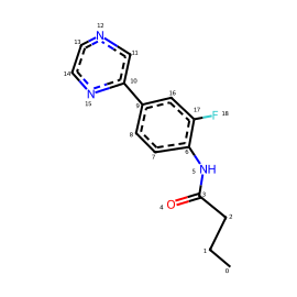 CCCC(=O)Nc1ccc(-c2cnccn2)cc1F